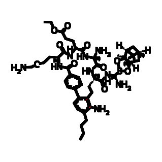 CCCCc1ccc(-c2ccc(C(=O)N[C@@H](CCCCN)C(=O)NC(CCC(=O)OCC)C(=O)N[C@@H](N)C(=O)N[C@@H](CCCCN)C(=O)N[C@@H](N)B3O[C@@H]4C[C@@H]5C[C@@H](C5(C)C)[C@]4(C)O3)cc2)cc1